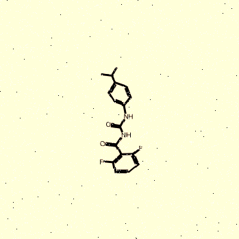 CC(C)c1ccc(NC(=O)NC(=O)c2c(F)cccc2F)cc1